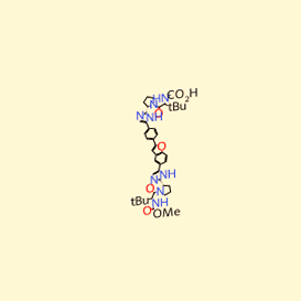 COC(=O)NC(C(=O)N1CCC[C@H]1c1ncc(-c2ccc3oc(-c4ccc(-c5cnc([C@@H]6CCCN6C(=O)C(NC(=O)O)C(C)(C)C)[nH]5)cc4)cc3c2)[nH]1)C(C)(C)C